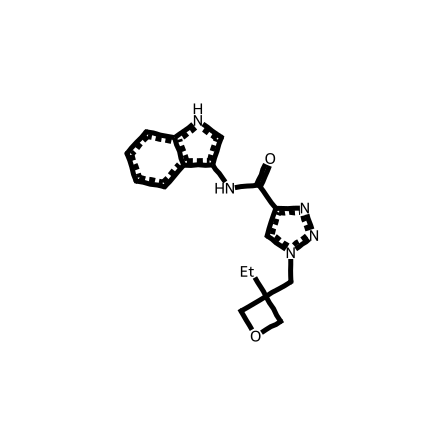 CCC1(Cn2cc(C(=O)Nc3c[nH]c4ccccc34)nn2)COC1